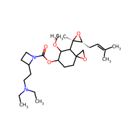 CCN(CC)CCC1CCN1C(=O)OC1CCC2(CO2)C([C@@]2(C)O[C@@H]2CC=C(C)C)C1OC